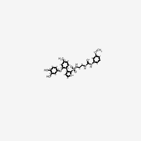 COc1cccc(NC(=O)NCCNS(=O)(=O)c2sccc2-c2ccc(C)cc2Oc2ccc(O)c(O)c2)c1